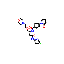 O=C(CC(COCCN1CCOCC1)NC(=O)c1ccc(-n2ccccc2=O)cc1)Nc1ccc(Cl)cn1